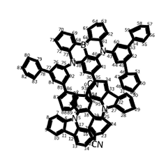 N#Cc1ccc(-n2c3ccccc3c3ccccc32)c(-c2cc(C#N)ccc2-n2c3ccccc3c3cc(-c4cc5c6c(c4)N(c4cc(-c7ccccc7)cc(-c7ccccc7)c4)c4ccccc4B6c4ccccc4N5c4cc(-c5ccccc5)cc(-c5ccccc5)c4)ccc32)c1